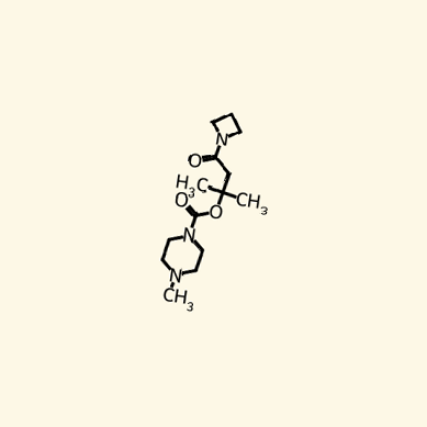 CN1CCN(C(=O)OC(C)(C)CC(=O)N2CCC2)CC1